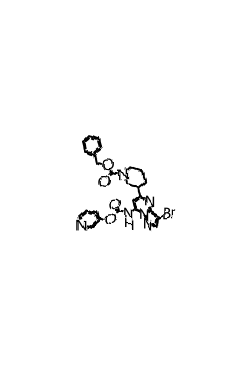 O=C(Nc1cc(C2CCCN(C(=O)OCc3ccccc3)C2)nc2c(Br)cnn12)Oc1cccnc1